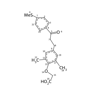 CSc1ccc(C(=O)CCc2cc(C)c(OCC(=O)O)c(C)c2)cc1